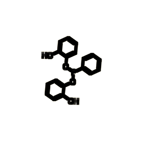 Oc1ccccc1OP(Oc1ccccc1O)c1ccccc1